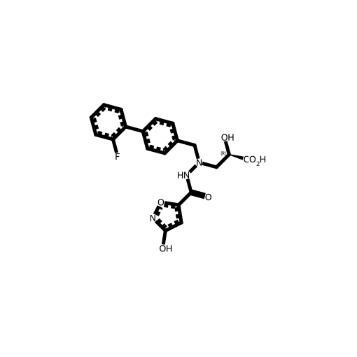 O=C(NN(Cc1ccc(-c2ccccc2F)cc1)C[C@@H](O)C(=O)O)c1cc(O)no1